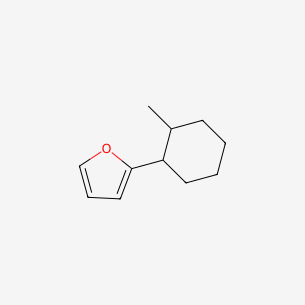 CC1CCCCC1c1ccco1